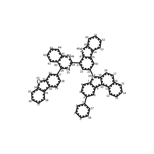 c1ccc(-c2ccc3c(c2)c2c4ccccc4ccc2n3-c2cc(-c3nc(-c4ccc5c(c4)oc4ccccc45)c4ccccc4n3)c3sc4ccccc4c3c2)cc1